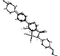 CCCC1CCC(CC(=O)c2ccc(-c3ccc(C4CCC(C)CC4)cc3)c(F)c2C(F)(F)F)CC1